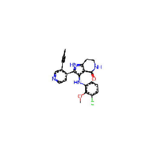 CC#Cc1cnccc1-c1[nH]c2c(c1Nc1cccc(Cl)c1OC)C(=O)NCC2